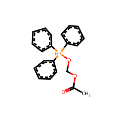 CC(=O)OCO[PH](c1ccccc1)(c1ccccc1)c1ccccc1